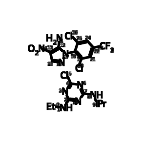 CCNc1nc(Cl)nc(NC(C)C)n1.Nc1c([N+](=O)[O-])cnn1-c1c(Cl)cc(C(F)(F)F)cc1Cl